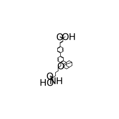 O=C(O)C=Cc1ccc(-c2ccc(OCCCCC(=O)NO)c(C34CC5CC(CC(C5)C3)C4)c2)cc1